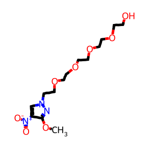 COc1nn(CCOCCOCCOCCOCCO)cc1[N+](=O)[O-]